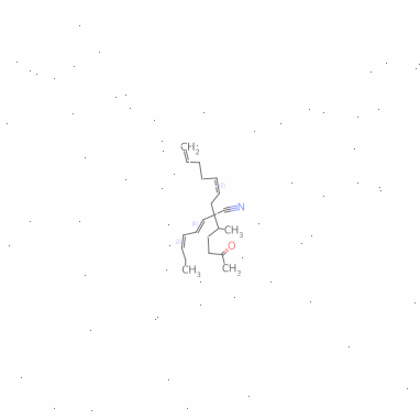 C=CCC/C=C\CC(C#N)(/C=C/C=C\CC)C(C)CCC(C)=O